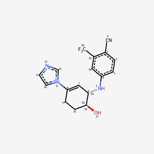 N#Cc1ccc(N[C@H]2C=C(n3ccnc3)CC[C@@H]2O)cc1C(F)(F)F